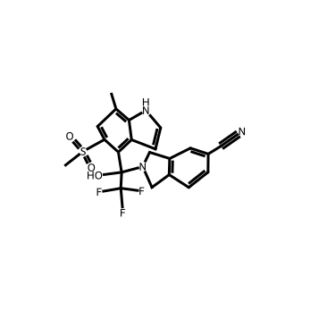 Cc1cc(S(C)(=O)=O)c(C(O)(N2Cc3ccc(C#N)cc3C2)C(F)(F)F)c2cc[nH]c12